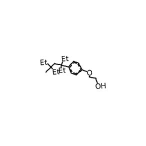 CCC(C)(CC)CC(CC)(CC)c1ccc(OCCO)cc1